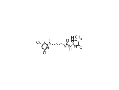 Cc1cc(=O)nc(NC(=O)NCCCCNc2nc(Cl)nc(Cl)n2)[nH]1